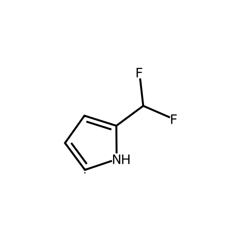 FC(F)c1cc[c][nH]1